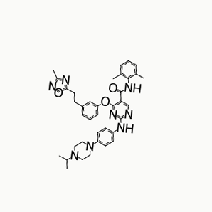 Cc1noc(CCc2cccc(Oc3nc(Nc4ccc(N5CCN(C(C)C)CC5)cc4)ncc3C(=O)Nc3c(C)cccc3C)c2)n1